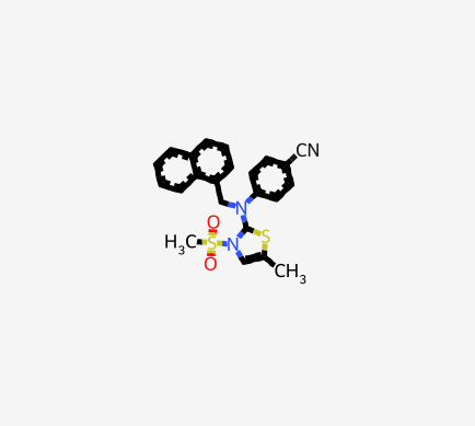 CC1=CN(S(C)(=O)=O)C(N(Cc2cccc3ccccc23)c2ccc(C#N)cc2)S1